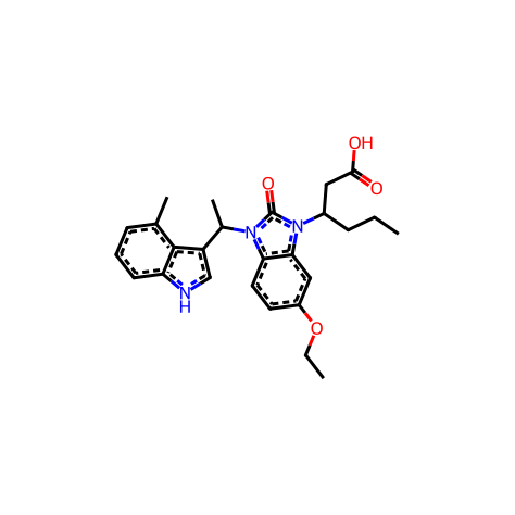 CCCC(CC(=O)O)n1c(=O)n(C(C)c2c[nH]c3cccc(C)c23)c2ccc(OCC)cc21